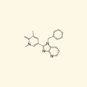 C=C1C(C)=CC(c2nc3ncccc3n2Cc2ccccc2)=CN1C